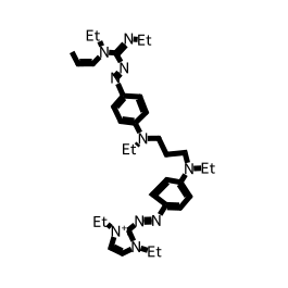 C/C=C\N(CC)/C(N=Nc1ccc(N(CC)CCCN(CC)c2ccc(N=Nc3n(CC)cc[n+]3CC)cc2)cc1)=N/CC